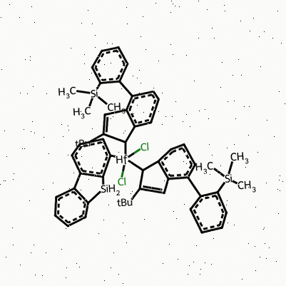 CC(C)(C)C1=Cc2c(-c3ccccc3[Si](C)(C)C)cccc2[CH]1[Hf]([Cl])([Cl])([c]1cccc2c1[SiH2]c1ccccc1-2)[CH]1C(C(C)(C)C)=Cc2c(-c3ccccc3[Si](C)(C)C)cccc21